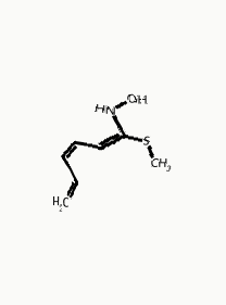 C=C/C=C\C=C(/NO)SC